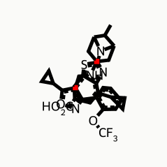 CC1C2CC(NCc3c(-c4ccccc4OC(F)(F)F)noc3C3CC3)CC1N2c1nc2c(C3CC3)cc(C(=O)O)cc2s1